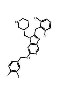 Fc1ccc(CNc2ncc3nc(Cc4c(Cl)cccc4Cl)n(C[C@@H]4CCCNC4)c3n2)cc1F